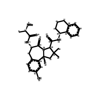 CN[C@@H](C)C(=O)N[C@H]1Cc2ccc(O)cc2[C@H]2CC(C)(C)C(C(=O)N[C@@H]3CCCc4ccccc43)N2C1=O